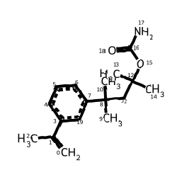 C=C(C)c1cccc(C(C)(C)CC(C)(C)OC(N)=O)c1